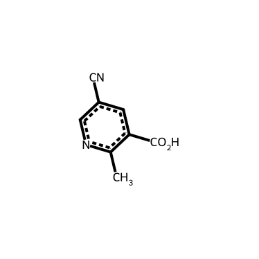 Cc1ncc(C#N)cc1C(=O)O